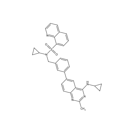 Cc1nc(NC2CC2)c2cc(-c3cccc(CN(C4CC4)S(=O)(=O)c4cccc5cccnc45)c3)ccc2n1